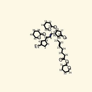 CCC1CCC([C@@H](/C=C/[C@H]2[C@H](OC3CCCCO3)CC(=O)[C@@H]2CC=CCCCC(=O)OC2CCCCO2)OC2CCCCO2)C1